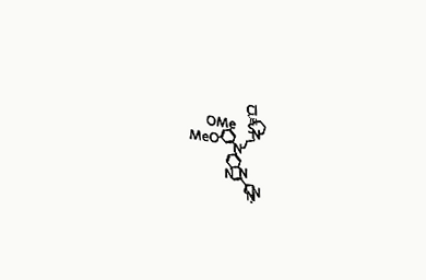 COc1cc(OC)cc(N(CCCN2CCC[C@@H](CCl)S2)c2ccc3ncc(-c4cnn(C)c4)nc3c2)c1